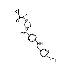 CN(C(=O)C1CC1)[C@H]1CCN(C(=O)c2ccc(NCc3ccc(N)nc3)nc2)C1